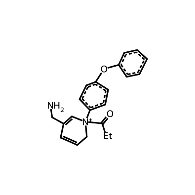 CCC(=O)[N+]1(c2ccc(Oc3ccccc3)cc2)C=C(CN)C=CC1